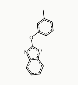 Cc1cccc(Oc2nc3ccccc3o2)c1